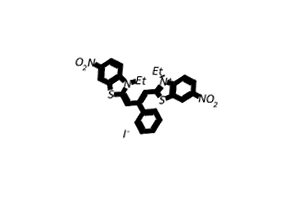 CCN1C(=CC(=Cc2sc3cc([N+](=O)[O-])ccc3[n+]2CC)c2ccccc2)Sc2cc([N+](=O)[O-])ccc21.[I-]